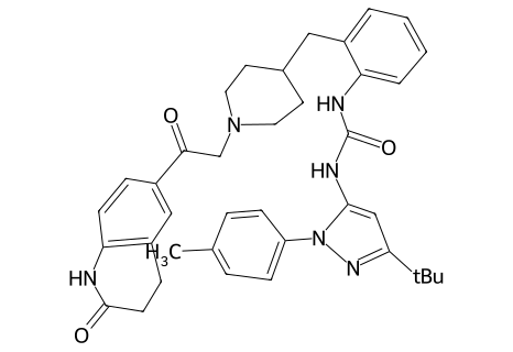 Cc1ccc(-n2nc(C(C)(C)C)cc2NC(=O)Nc2ccccc2CC2CCN(CC(=O)c3ccc4c(c3)CCC(=O)N4)CC2)cc1